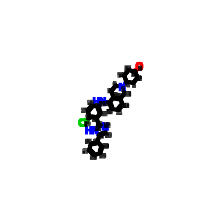 O=C1CCC(N2CCc3c(cccc3Nc3ccc(Cl)c(-c4ncc(-c5ccccc5)[nH]4)c3)C2)CC1